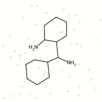 NC1CCCCC1C(N)C1CCCCC1